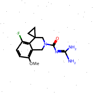 COc1ccc(F)c2c1CN(C(=O)N=C(N)N)CC21CC1